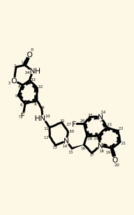 O=C1COc2cc(F)c(CNC3CCN(C[C@@H]4Cn5c(=O)ccc6ncc(F)c4c65)CC3)cc2N1